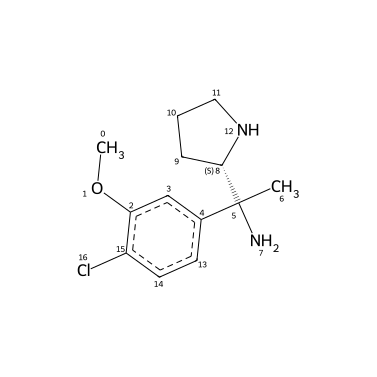 COc1cc(C(C)(N)[C@@H]2CCCN2)ccc1Cl